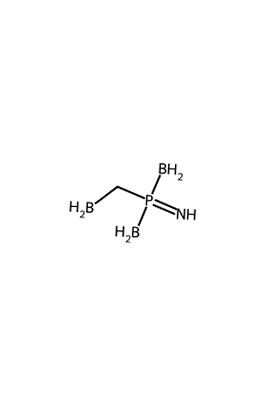 BCP(B)(B)=N